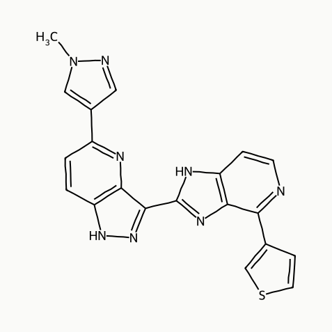 Cn1cc(-c2ccc3[nH]nc(-c4nc5c(-c6ccsc6)nccc5[nH]4)c3n2)cn1